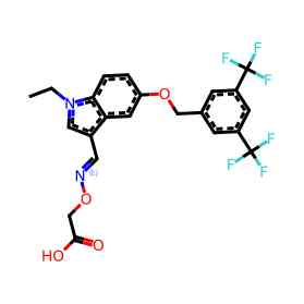 CCn1cc(/C=N/OCC(=O)O)c2cc(OCc3cc(C(F)(F)F)cc(C(F)(F)F)c3)ccc21